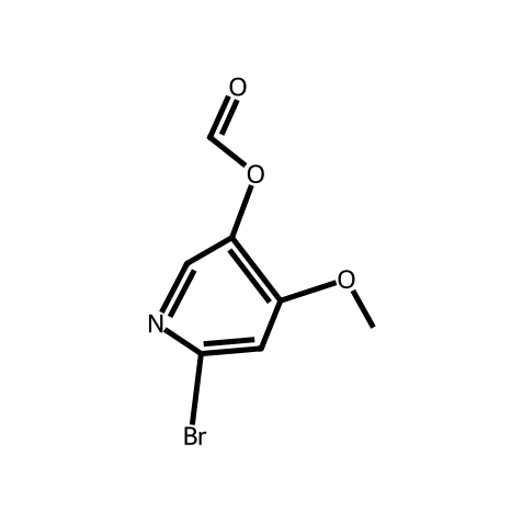 COc1cc(Br)ncc1OC=O